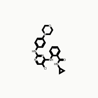 O=C(NC1CC1)c1ccccc1Nc1nc(Nc2ccc(N3CCOCC3)cc2)ncc1Cl